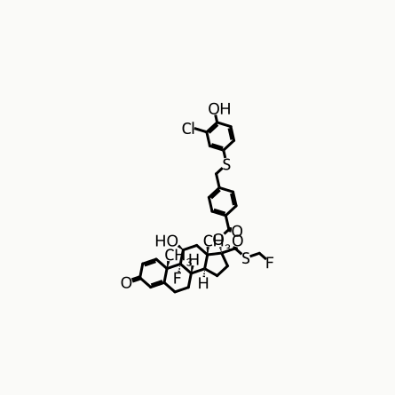 C[C@]12C=CC(=O)C=C1CC[C@H]1[C@@H]3CC[C@](OC(=O)c4ccc(CSc5ccc(O)c(Cl)c5)cc4)(C(=O)SCF)[C@@]3(C)C[C@H](O)[C@@]12F